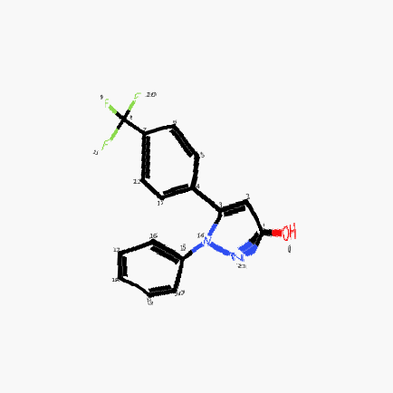 Oc1cc(-c2ccc(C(F)(F)F)cc2)n(-c2ccccc2)n1